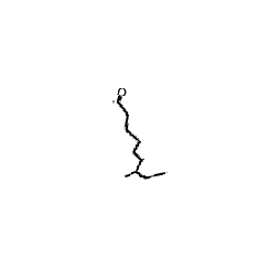 CCC(C)CCCCC[C]=O